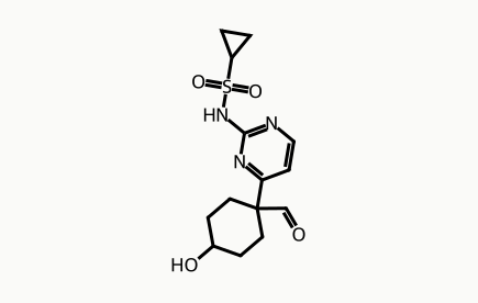 O=CC1(c2ccnc(NS(=O)(=O)C3CC3)n2)CCC(O)CC1